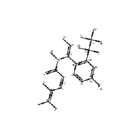 C=C(/C=C\C(C)=C(C)C)N(C)C(=CC)c1ccc(F)cc1C(C)(C)C(C)(C)C